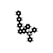 c1ccc(-c2ccc(-c3ccc(-c4cccc5cc(-c6nc(-c7ccccc7)nc(-c7ccccc7)n6)c6c7ccccc7oc6c45)cc3)cc2)cc1